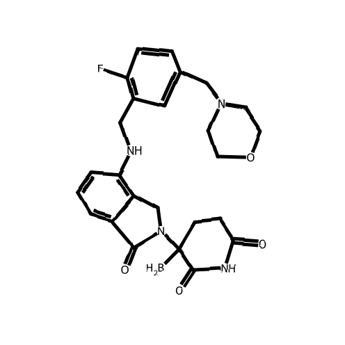 BC1(N2Cc3c(NCc4cc(CN5CCOCC5)ccc4F)cccc3C2=O)CCC(=O)NC1=O